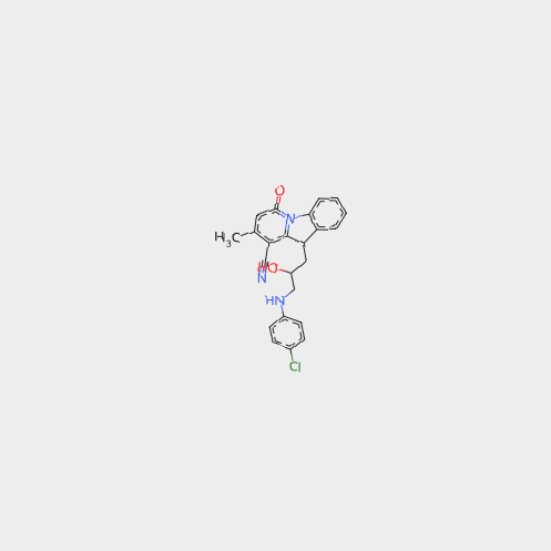 Cc1cc(=O)n2c(c1C#N)C(CC(O)CNc1ccc(Cl)cc1)c1ccccc1-2